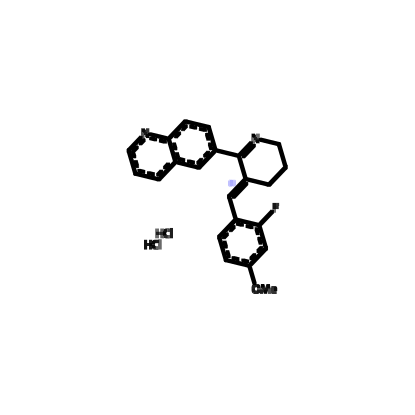 COc1ccc(/C=C2\CCCN=C2c2ccc3ncccc3c2)c(F)c1.Cl.Cl